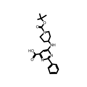 CC(C)(C)OC(=O)N1CCC(Nc2cc(C(=O)O)nc(-c3ccccc3)n2)CC1